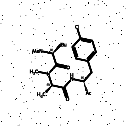 CCC(C)[C@H](NC)C(=O)N(C)[C@H](C)C(=O)N[C@H](Cc1ccc(Cl)cc1)C(C)=O